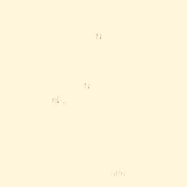 CCCCc1ccc2c(c1)C1(c3ccccc3-c3ccc(N(c4ccccc4)c4ccc5c(c4)c4ccccc4n5-c4ccccc4)cc31)c1cc(CCCC)ccc1-2